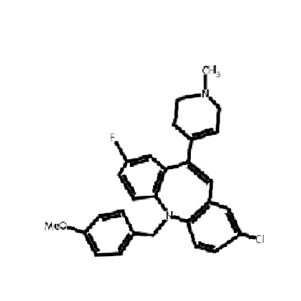 COc1ccc(CN2c3ccc(Cl)cc3C=C(C3=CCN(C)CC3)c3cc(F)ccc32)cc1